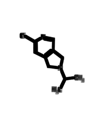 CC(C)N1Cc2cnc(Cl)cc2C1